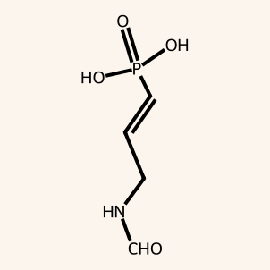 O=CNC/C=C/P(=O)(O)O